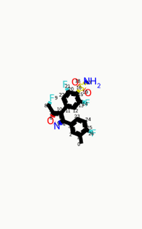 Cc1cc(-c2noc(CF)c2-c2cc(F)c(S(N)(=O)=O)c(F)c2)ccc1F